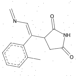 C=N/C=C(\c1ccccc1C)C1CC(=O)NC1=O